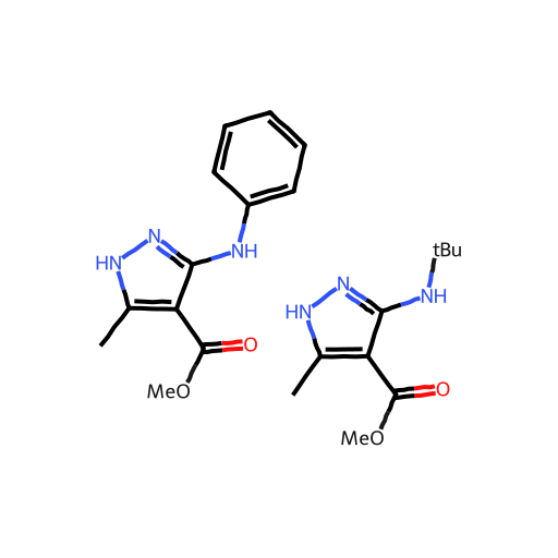 COC(=O)c1c(NC(C)(C)C)n[nH]c1C.COC(=O)c1c(Nc2ccccc2)n[nH]c1C